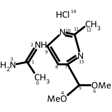 CC(=N)N.COC(OC)c1ccnc(C)n1.Cl